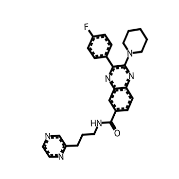 O=C(NCCCc1cnccn1)c1ccc2nc(N3CCCCC3)c(-c3ccc(F)cc3)nc2c1